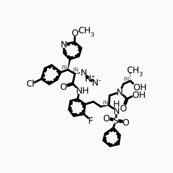 COc1ccc([C@H](c2ccc(Cl)cc2)[C@H](N=[N+]=[N-])C(=O)Nc2cccc(F)c2CC[C@@H](CN(C[C@H](C)O)C(=O)O)NS(=O)(=O)c2ccccc2)cn1